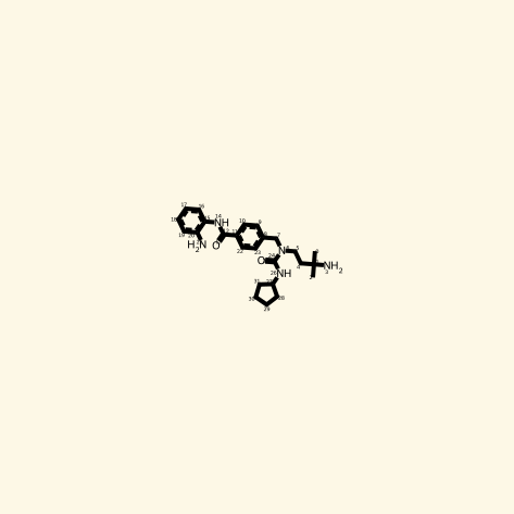 CC(C)(N)CCN(Cc1ccc(C(=O)Nc2ccccc2N)cc1)C(=O)NC1CCCC1